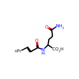 CCC/C=C/C(=O)NC(CCC(N)=O)C(=O)O